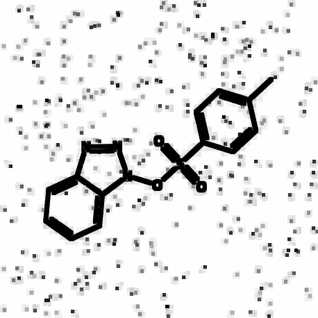 Cc1ccc(S(=O)(=O)On2nnc3ccccc32)cc1